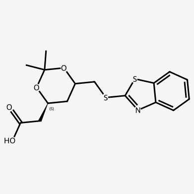 CC1(C)OC(CSc2nc3ccccc3s2)C[C@@H](CC(=O)O)O1